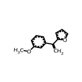 C=C(c1cccc(OC)c1)c1ccco1